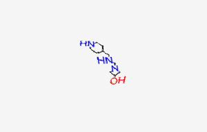 OC1CN(CNCC2CCNCC2)C1